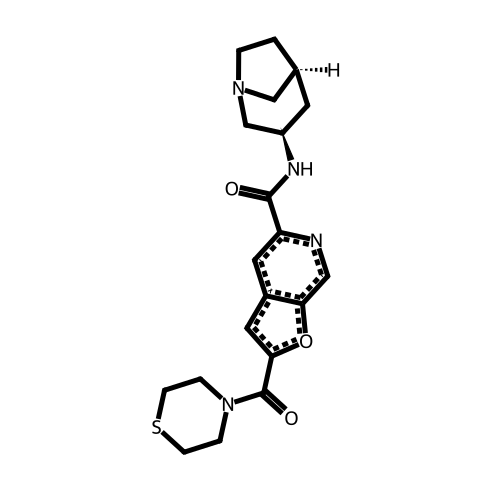 O=C(N[C@@H]1C[C@@H]2CCN(C2)C1)c1cc2cc(C(=O)N3CCSCC3)oc2cn1